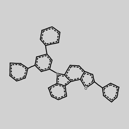 c1ccc(-c2cc(-c3ccccc3)cc(-n3c4ccccc4c4c5oc(-c6ccccc6)cc5ccc43)c2)cc1